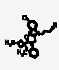 C=C[C@]1(C(=O)N(Cc2nc3cc(Cl)ccc3n2CCCC#N)c2ccccc2)C[C@@H](N)C1